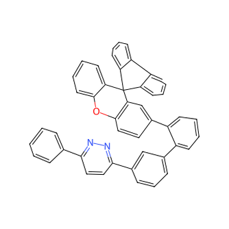 c1ccc(-c2ccc(-c3cccc(-c4ccccc4-c4ccc5c(c4)C4(c6ccccc6O5)c5ccccc5-c5ccccc54)c3)nn2)cc1